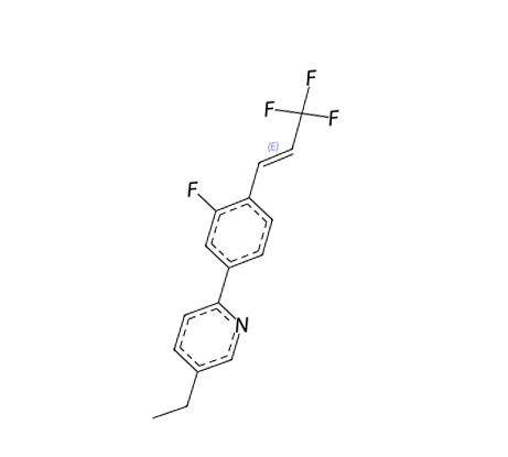 CCc1ccc(-c2ccc(/C=C/C(F)(F)F)c(F)c2)nc1